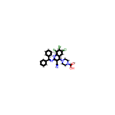 N#Cc1c(N=C(c2ccccc2)c2ccccc2)nc2c(F)c(Br)c(Cl)cc2c1N1CCN(C(=O)O)CC1